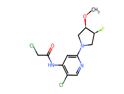 CO[C@@H]1CN(c2cc(NC(=O)CCl)c(Cl)cn2)C[C@@H]1F